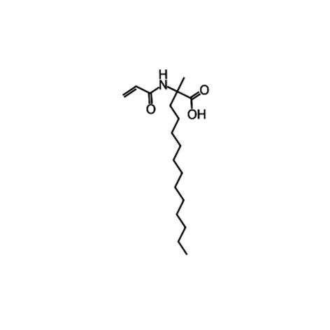 C=CC(=O)NC(C)(CCCCCCCCCCCC)C(=O)O